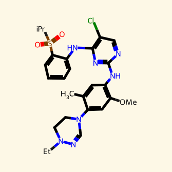 CCN1CCN(c2cc(OC)c(Nc3ncc(Cl)c(Nc4ccccc4S(=O)(=O)C(C)C)n3)cc2C)C=N1